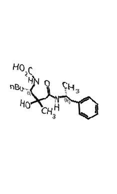 CCCC[C@H](NC(=O)O)C(C)(O)C(=O)N[C@H](C)c1ccccc1